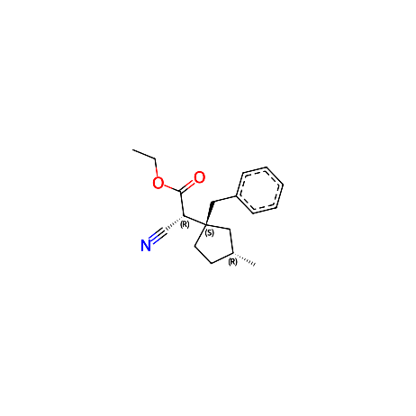 CCOC(=O)[C@@H](C#N)[C@@]1(Cc2ccccc2)CC[C@@H](C)C1